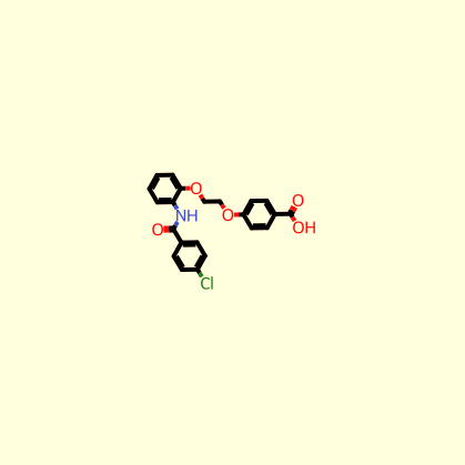 O=C(O)c1ccc(OCCOc2ccccc2NC(=O)c2ccc(Cl)cc2)cc1